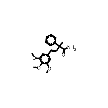 COc1cc(C=CC(C)(C(N)=O)c2ccccc2)cc(OC)c1OC